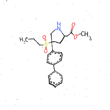 CCCS(=O)(=O)C1(c2ccc(-c3ccccc3)cc2)CNC(C(=O)OC)C1